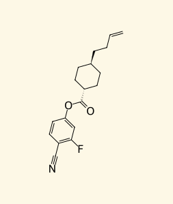 C=CCC[C@H]1CC[C@H](C(=O)Oc2ccc(C#N)c(F)c2)CC1